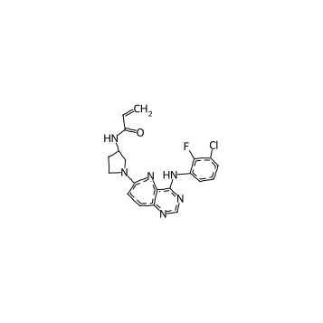 C=CC(=O)NC1CCN(c2ccc3ncnc(Nc4cccc(Cl)c4F)c3n2)C1